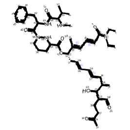 CCN(CC)C(=O)/C=C/C=C(\C)[C@H](C/C=C/C=C/CC(C)C(O)C(C=O)CCC(C)=O)OC(=O)C1CCCN(C(=O)C(Cc2ccccc2)NC(=O)C(NC)C(C)C)N1